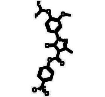 COc1cc(N2N=C(C)C(C(=O)Oc3ccc([N+](=O)[O-])cc3)C2=O)ccc1OC(F)F